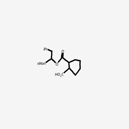 CCCCCCCCCC(CC(C)C)OC(=O)C1CCCCC1C(=O)O